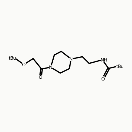 CC(C)(C)OCC(=O)N1CCN(CCNC(=O)C(C)(C)C)CC1